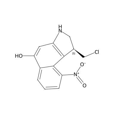 O=[N+]([O-])c1cccc2c(O)cc3c(c12)[C@H](CCl)CN3